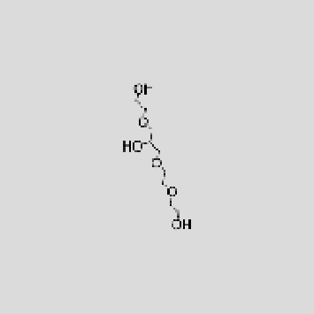 OCCOCCOCC(O)COCCO